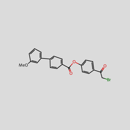 COc1cccc(-c2ccc(C(=O)Oc3ccc(C(=O)CBr)cc3)cc2)c1